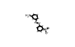 Nc1cccc(/N=N/c2cccc([N+](=O)[O-])c2)c1